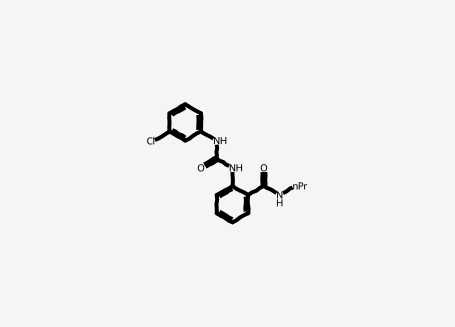 CCCNC(=O)c1ccccc1NC(=O)Nc1cccc(Cl)c1